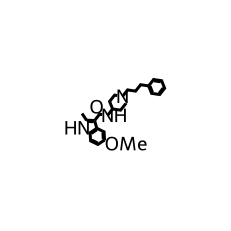 COc1ccc2[nH]c(C)c(C(=O)NC3CCN(CCCc4ccccc4)CC3)c2c1